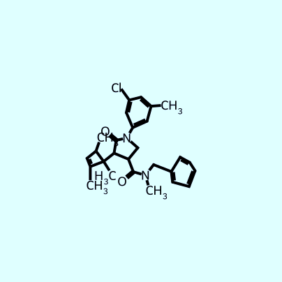 CC1=CC(C)C1(C)C1C(=O)N(c2cc(C)cc(Cl)c2)CC1C(=O)N(C)Cc1ccccc1